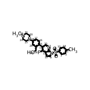 Cc1ccc(S(=O)(=O)n2ccc3c(F)c(-c4ccc(N5CCN(C)CC5)cc4CO)cnc32)cc1